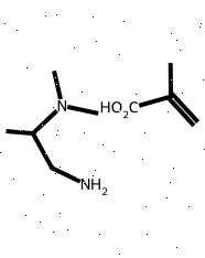 C=C(C)C(=O)O.CC(CN)N(C)C